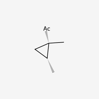 CC(=O)[C@@]1(C)C[C@H]1C